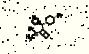 CC(C)[C@H](C)C1C2CCC2C1C([C@H]1CC[C@@H](C(C)C)CC1)n1ccnc1